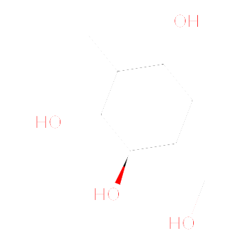 CC1[C@H](O)C[C@H](CO)[C@@H](O)[C@@H]1O